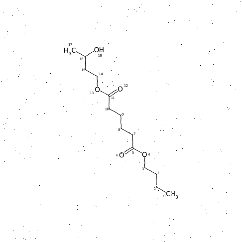 CCCCOC(=O)CCCCC(=O)OCCC(C)O